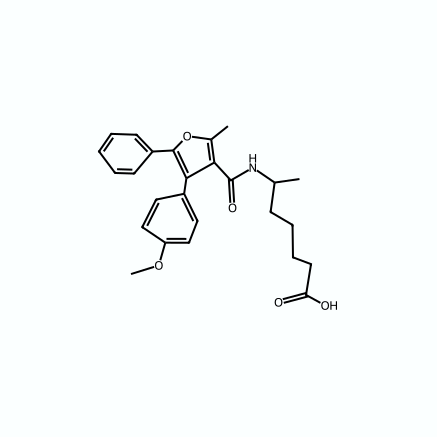 COc1ccc(-c2c(-c3ccccc3)oc(C)c2C(=O)NC(C)CCCCC(=O)O)cc1